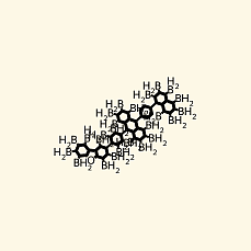 Bc1c(B)c(-c2c3c(B)c(B)c(B)c(B)c3c(-c3ccc(-c4c(B)c(B)c(B)c5c(B)c(B)c(B)c(B)c45)cc3)c3c(B)c(B)c(B)c(B)c23)c(B)c(B)c1-c1c(B)c(B)c2oc3c(B)c(B)c(B)c(B)c3c2c1B